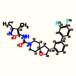 Cc1noc(NC(=O)N2CCC3(CC2)C[C@H](c2cccc(-c4ccc(F)c(F)c4)c2)CO3)c1C